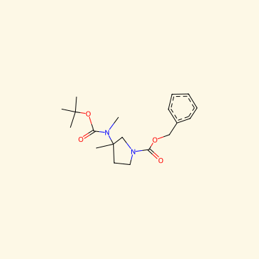 CN(C(=O)OC(C)(C)C)C1(C)CCN(C(=O)OCc2ccccc2)C1